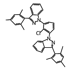 Cc1cc(C)c(-c2nn(-c3cccc(-n4nc(-c5c(C)cc(C)cc5C)c5ccccc54)c3Cl)c3ccccc23)c(C)c1